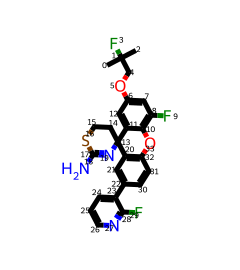 CC(C)(F)COc1cc(F)c2c(c1)C1(CCSC(N)=N1)c1cc(-c3cccnc3F)ccc1O2